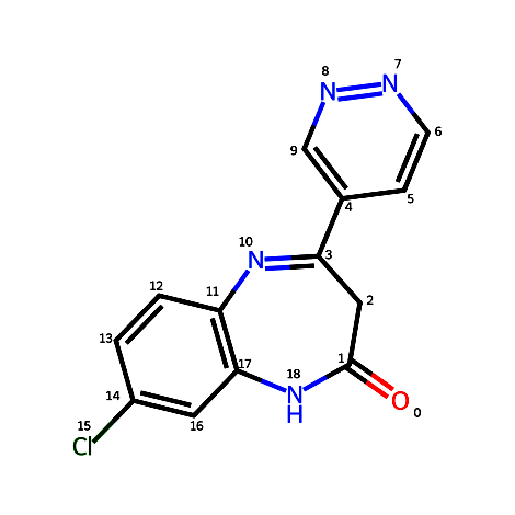 O=C1CC(c2ccnnc2)=Nc2ccc(Cl)cc2N1